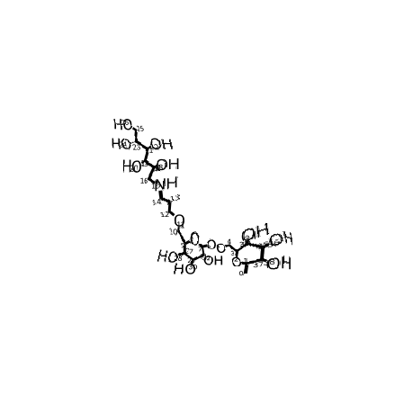 CC1OC(COOC2OC(COCCCNC[C@@H](O)[C@@H](O)[C@H](O)[C@H](O)CO)C(O)C(O)C2O)C(O)C(O)C1O